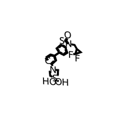 O=c1sc2cc(-c3cccc(N4CCS(O)(O)CC4)c3)ccc2n1CC1CC1(F)F